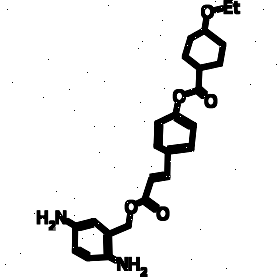 CCOC1CCC(C(=O)Oc2ccc(/C=C/C(=O)OCc3cc(N)ccc3N)cc2)CC1